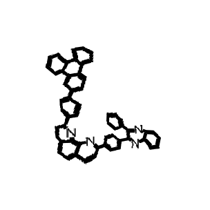 c1ccc(-c2nc3ccccc3nc2-c2ccc(-c3ccc4ccc5ccc(-c6ccc(-c7ccc8c9ccccc9c9ccccc9c8c7)cc6)nc5c4n3)cc2)cc1